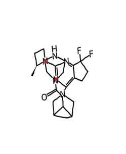 C[C@H]1CCN1c1nc(N2CC3CC(C2)C3CC(=O)N2CCNCC2)c2c(n1)C(F)(F)CC2